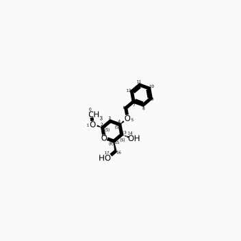 CO[C@@H]1C[C@H](OCc2ccccc2)[C@H](O)[C@@H](CO)O1